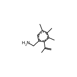 C=C(C)c1c(CN)cc(C)c(C)c1C